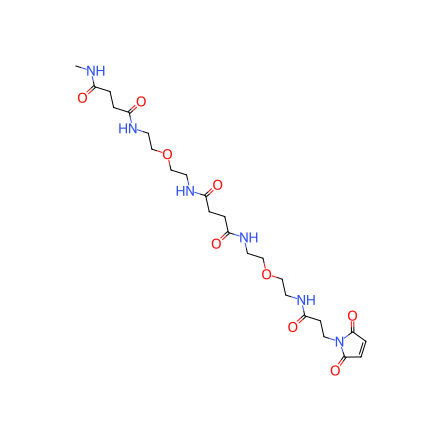 CNC(=O)CCC(=O)NCCOCCNC(=O)CCC(=O)NCCOCCNC(=O)CCN1C(=O)C=CC1=O